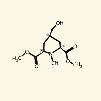 COC(=O)[C@H]1C[C@@H](CO)C[C@@H](C(=O)OC)N1C